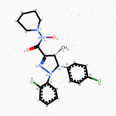 C[C@H]1C(C(=O)[NH+]([O-])N2CCCCC2)=NN(c2ccccc2Cl)[C@H]1c1ccc(Cl)cc1